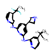 CC(C)(C)c1ccnc(Nc2cc(C3CNC3)cc(Nc3cc(C(C)(F)F)ccn3)n2)c1